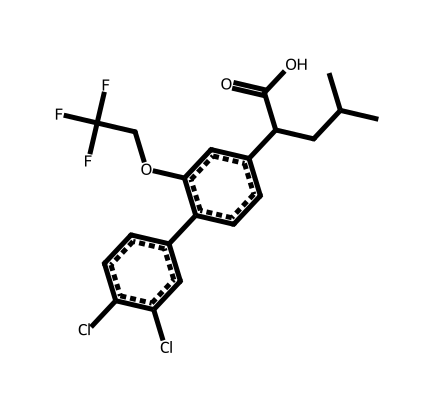 CC(C)CC(C(=O)O)c1ccc(-c2ccc(Cl)c(Cl)c2)c(OCC(F)(F)F)c1